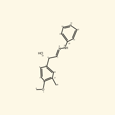 COc1ccc(C/C=N/Nc2ccncc2)cc1C.Cl